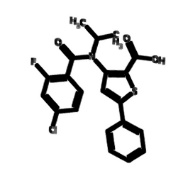 CC(C)N(C(=O)c1ccc(Cl)cc1F)c1cc(-c2ccccc2)sc1C(=O)O